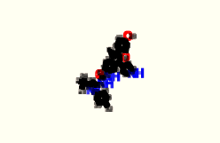 COc1ccc(C2(C(=O)C(c3cccc(NC(=O)Nc4cc(C(C)(C)C)nn4-c4ccc(C)cc4)c3)C3CCNCC3)CC2)cc1